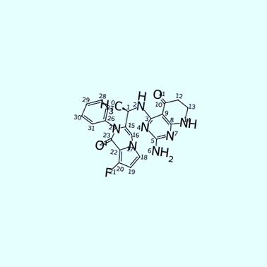 C[C@@H](Nc1nc(N)nc2c1C(=O)CCN2)c1cn2ccc(F)c2c(=O)n1-c1ccccc1